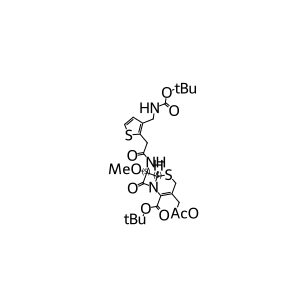 CO[C@@]1(NC(=O)Cc2sccc2CNC(=O)OC(C)(C)C)C(=O)N2C(C(=O)OC(C)(C)C)=C(COC(C)=O)CS[C@H]21